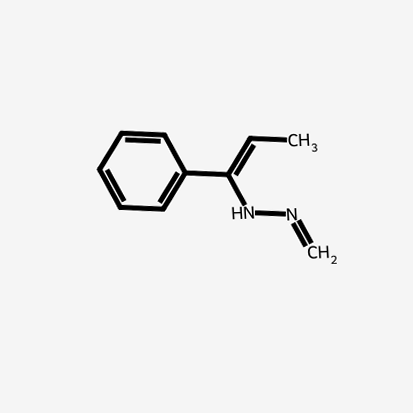 C=NN/C(=C\C)c1ccccc1